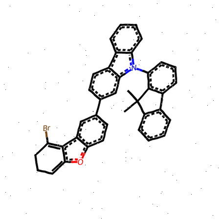 CC1(C)c2ccccc2-c2cccc(-n3c4ccccc4c4ccc(-c5ccc6oc7c(c6c5)=C(Br)CCC=7)cc43)c21